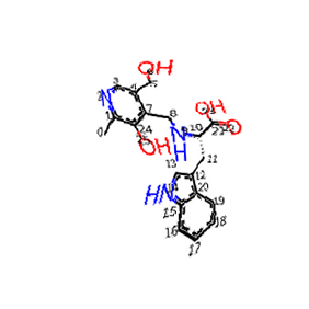 Cc1ncc(CO)c(CN[C@@H](Cc2c[nH]c3ccccc23)C(=O)O)c1O